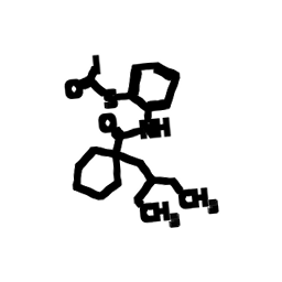 CCC(CC)CC1(C(=O)Nc2ccccc2SC(=O)I)CCCCC1